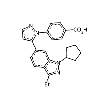 CCc1nn(C2CCCC2)c2cc(-c3ccnn3-c3ccc(C(=O)O)cc3)ccc12